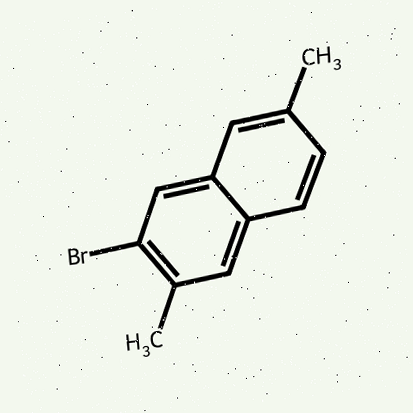 Cc1ccc2cc(C)c(Br)cc2c1